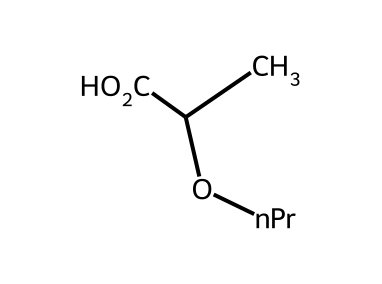 CCCOC(C)C(=O)O